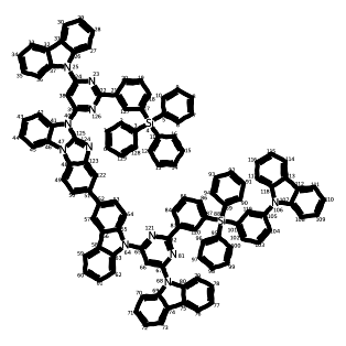 c1ccc([Si](c2ccccc2)(c2ccccc2)c2cccc(-c3nc(-n4c5ccccc5c5ccccc54)cc(-n4c5ccccc5n5c6ccc(-c7ccc8c(c7)c7ccccc7n8-c7cc(-n8c9ccccc9c9ccccc98)nc(-c8cccc([Si](c9ccccc9)(c9ccccc9)c9cccc(-n%10c%11ccccc%11c%11ccccc%11%10)c9)c8)n7)cc6nc45)n3)c2)cc1